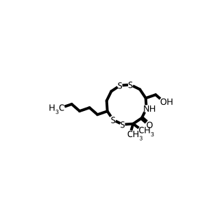 CCCCCC1CCSSCC(CO)NC(=O)C(C)(C)SS1